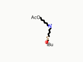 CCC(C)OCSCCCCCN(C)CCCCCCOC(C)=O